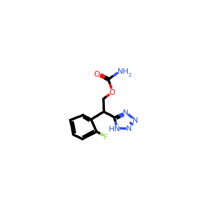 NC(=O)OCC(c1nnn[nH]1)c1ccccc1F